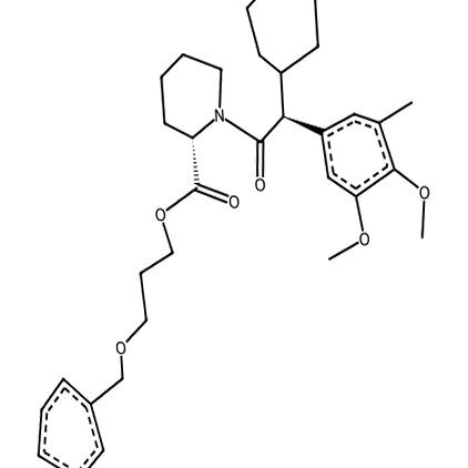 COc1cc([C@@H](C(=O)N2CCCC[C@H]2C(=O)OCCCOCc2ccccc2)C2CCCCC2)cc(C)c1OC